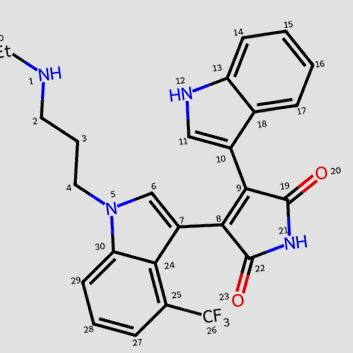 CCNCCCn1cc(C2=C(c3c[nH]c4ccccc34)C(=O)NC2=O)c2c(C(F)(F)F)cccc21